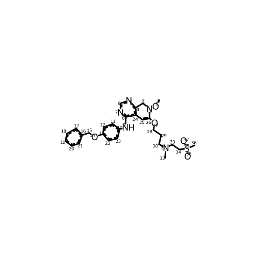 CON1Cc2ncnc(Nc3ccc(OCc4ccccc4)cc3)c2C=C1OCCCN(C)CCS(C)(=O)=O